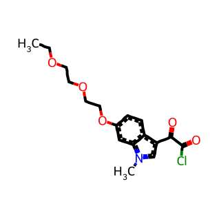 CCOCCOCCOc1ccc2c(C(=O)C(=O)Cl)cn(C)c2c1